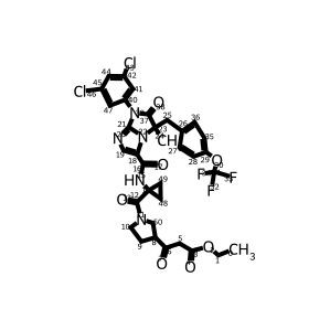 CCOC(=O)CC(=O)C1CCN(C(=O)C2(NC(=O)c3cnc4n3C(C)(Cc3ccc(OC(F)(F)F)cc3)C(=O)N4c3cc(Cl)cc(Cl)c3)CC2)C1